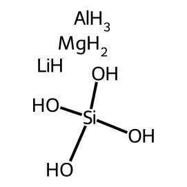 O[Si](O)(O)O.[AlH3].[LiH].[MgH2]